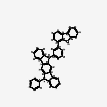 c1ccc(-n2c3ccccc3c3cc4c(cc32)c2ccccc2n4-c2cccc(-c3cccc4c3oc3ccccc34)c2)cc1